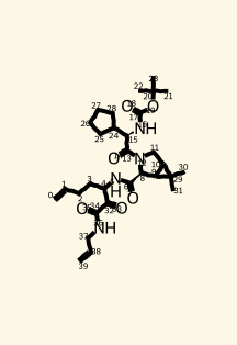 C=CCCC(NC(=O)[C@@H]1C2C(CN1C(=O)[C@@H](NC(=O)OC(C)(C)C)C1CCCC1)C2(C)C)C(=O)C(=O)NCC=C